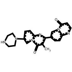 Cc1c(-c2ccc3nccc(=O)n3c2)nc2ccc(N3CCNCC3)cn2c1=O